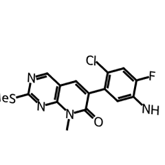 CSc1ncc2cc(-c3cc(N)c(F)cc3Cl)c(=O)n(C)c2n1